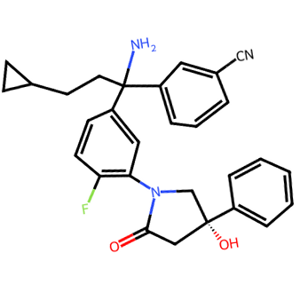 N#Cc1cccc(C(N)(CCC2CC2)c2ccc(F)c(N3C[C@@](O)(c4ccccc4)CC3=O)c2)c1